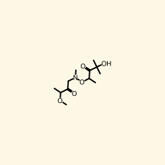 COC(C)C(=O)CN(C)OC(C)C(=O)C(C)(C)O